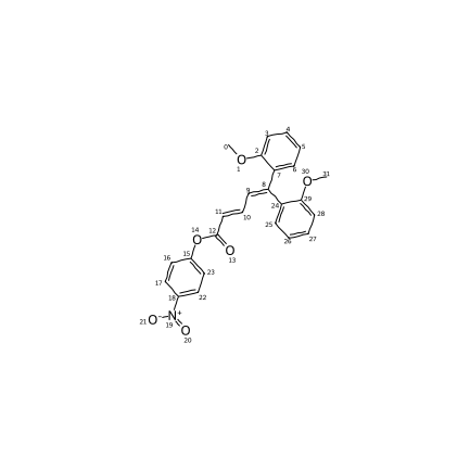 COc1ccccc1C(=CC=CC(=O)Oc1ccc([N+](=O)[O-])cc1)c1ccccc1OC